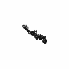 CCCCCCCOc1ccc(NC(=S)NC(=O)c2ccc(C(=O)N3CCOCC3)nc2)cc1